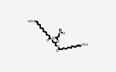 CCCCCCCCC=CCCCCCCCC(=O)OCC(COC(=O)CCCCCCCC=CCCCCCCCC)OC(=O)CCN(CC)CC